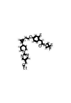 CCOCc1cnc(N2CCC([C@H]3C[C@H]3CCOc3ccc(CC(=O)N4CC(F)(F)C4)c(F)c3)CC2)nc1